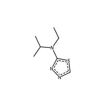 CCN(c1nncs1)C(C)C